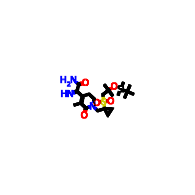 CC1=C(C(=N)C(N)=O)CCN(CC2(S(=O)(=O)CC(C)(C)O[Si](C)(C)C(C)(C)C)CC2)C1=O